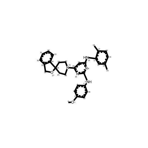 COc1ccc(Nc2nc(Nc3cc(C)ccc3C)cc(N3CCC4(CC3)OCc3ccccc34)n2)cc1